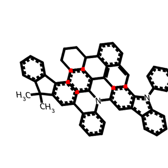 CC1(C)c2ccccc2-c2ccc(-c3ccccc3N(c3ccc4c(c3)c3ccccc3n4-c3ccccc3)c3ccccc3C3=c4c(C5CCCCC5)cccc4=CCC3)cc21